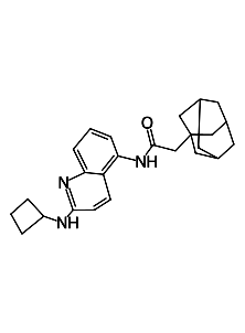 O=C(CC12CC3CC(CC(C3)C1)C2)Nc1cccc2nc(NC3CCC3)ccc12